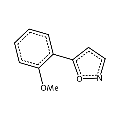 [CH2]Oc1ccccc1-c1ccno1